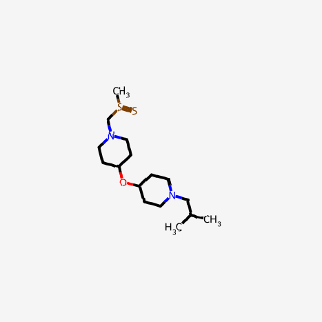 CC(C)CN1CCC(OC2CCN(CS(C)=S)CC2)CC1